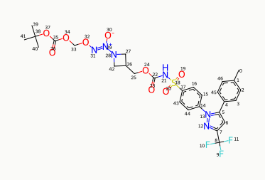 Cc1ccc(-c2cc(C(F)(F)F)nn2-c2ccc(S(=O)(=O)NC(=O)OCC3CN(/[N+]([O-])=N/OCOC(=O)OC(C)(C)C)C3)cc2)cc1